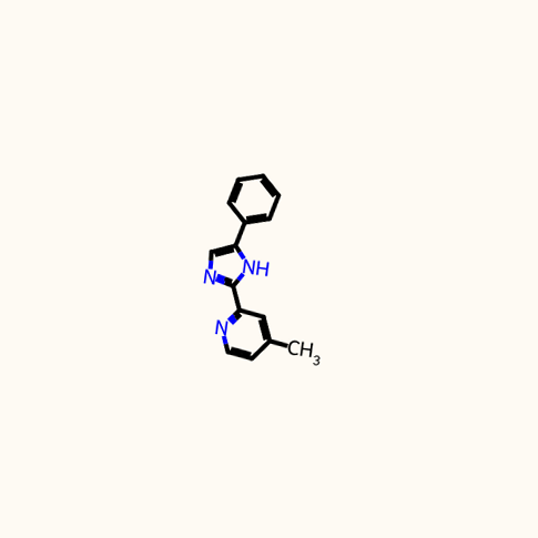 Cc1ccnc(-c2ncc(-c3ccccc3)[nH]2)c1